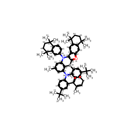 CC1=CCCC(C)=C1c1cc(C(C)(C)C)ccc1N1c2ccc(C(C)(C)C)cc2B2c3oc4cc5c(cc4c3N(c3ccc4c(c3)C(C)(C)CCC4(C)C)c3cc(C)cc1c32)C(C)(C)CCC5(C)C